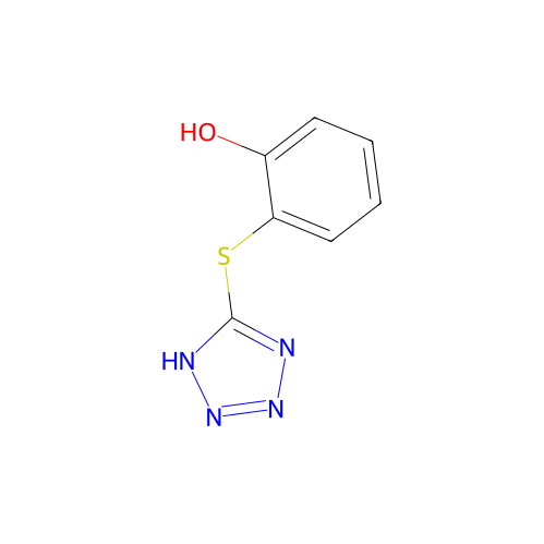 Oc1ccccc1Sc1nnn[nH]1